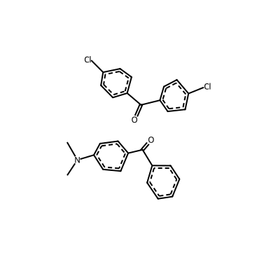 CN(C)c1ccc(C(=O)c2ccccc2)cc1.O=C(c1ccc(Cl)cc1)c1ccc(Cl)cc1